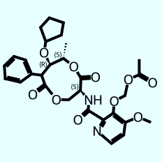 COc1ccnc(C(=O)N[C@H]2COC(=O)C(c3ccccc3)[C@@H](OC3CCCC3)[C@H](C)OC2=O)c1OCOC(C)=O